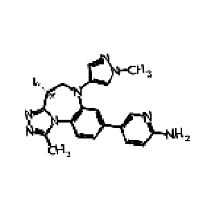 Cc1nnc2n1-c1ccc(-c3ccc(N)nc3)cc1N(c1cnn(C)c1)C[C@H]2I